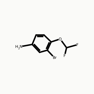 Nc1ccc(OC(F)F)c(Br)c1